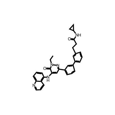 CCn1nc(-c2cccc(-c3cccc(CCC(=O)NC4CC4)c3)c2)cc(Nc2cccc3ncccc23)c1=O